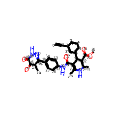 C#Cc1cccc(C2C(C(=O)Nc3ccc(C4=NNC(=O)C(=O)C4C)cc3)=C(C)NC(C)=C2C(=O)OC)c1